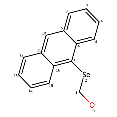 [O]C[Se]c1c2ccccc2cc2ccccc12